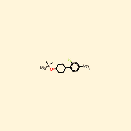 CC(C)(C)[Si](C)(C)OC1CCC(c2ccc([N+](=O)[O-])cc2F)CC1